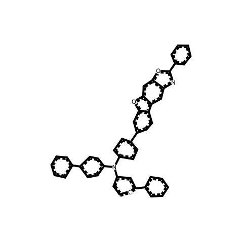 c1ccc(-c2ccc(N(c3ccc(-c4ccc5c(c4)oc4cc6oc(-c7ccccc7)nc6cc45)cc3)c3cccc(-c4ccccc4)c3)cc2)cc1